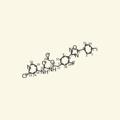 Cc1ccc(-c2nc(-c3ccc(CC(NC(=O)Nc4ccnc(Cl)c4)OC=O)cc3F)no2)cc1